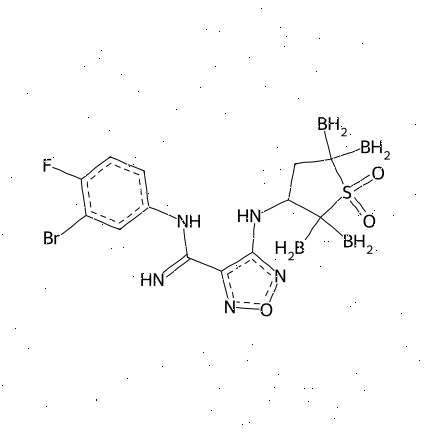 BC1(B)CC(Nc2nonc2C(=N)Nc2ccc(F)c(Br)c2)C(B)(B)S1(=O)=O